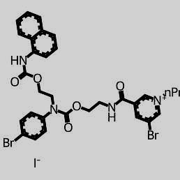 CCC[n+]1cc(Br)cc(C(=O)NCCOC(=O)N(CCOC(=O)Nc2cccc3ccccc23)c2ccc(Br)cc2)c1.[I-]